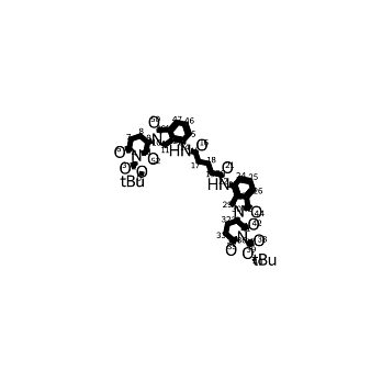 CC(C)(C)OC(=O)N1C(=O)CCC(N2Cc3c(NC(=O)CCCC(=O)Nc4cccc5c4CN(C4CCC(=O)N(C(=O)OC(C)(C)C)C4=O)C5=O)cccc3C2=O)C1=O